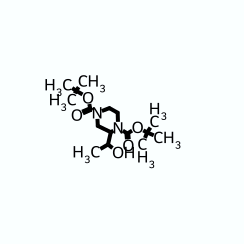 CC(O)C1CN(C(=O)OC(C)(C)C)CCN1C(=O)OC(C)(C)C